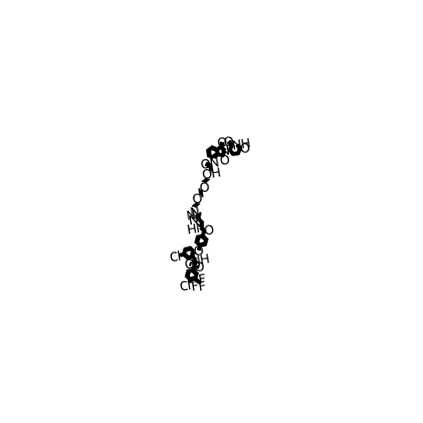 O=C1CCC(N2C(=O)c3cccc(NC(=O)COCCOCCOCCn4cc(CNC(=O)c5ccc(Oc6ccc(Cl)cc6NS(=O)(=O)c6ccc(Cl)c(C(F)(F)F)c6)cc5)nn4)c3C2=O)C(=O)N1